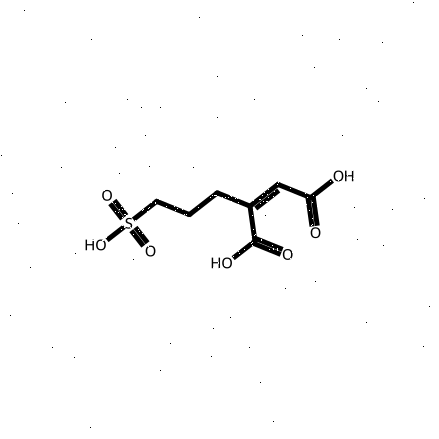 O=C(O)C=C(CCCS(=O)(=O)O)C(=O)O